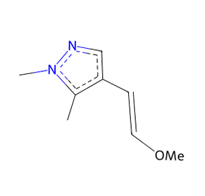 COC=Cc1cnn(C)c1C